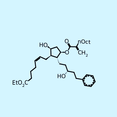 C=C(CCCCCCCC)C(=O)O[C@@H]1C[C@H](O)[C@H](C/C=C\CCCC(=O)OCC)[C@H]1CC[C@@H](O)CCc1ccccc1